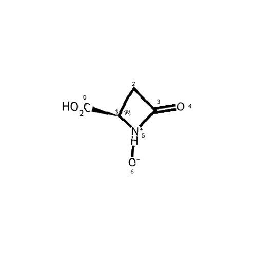 O=C(O)[C@H]1CC(=O)[NH+]1[O-]